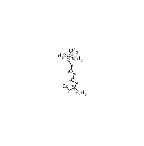 C[C@@H](CCl)COCOCC[Si](C)(C)C